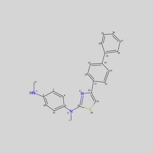 CNc1ccc(N(C)c2nc(-c3ccc(-c4ccccc4)cc3)cs2)cc1